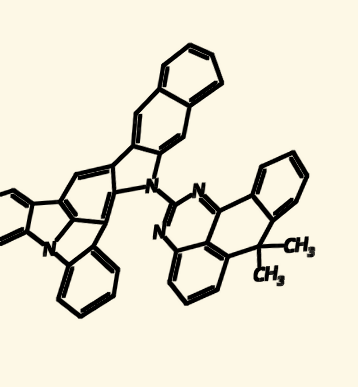 CC1(C)c2ccccc2-c2nc(-n3c4cc5ccccc5cc4c4cc5c6ccccc6n6c7ccccc7c(c43)c56)nc3cccc1c23